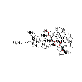 CC[C@H](C)[C@H](NC(=O)[C@@H](NC(=O)[C@H](CC(C)C)NC(=O)[C@H](Cc1c[nH]cn1)NC(=O)[C@H](Cc1ccccc1)NC(=O)[C@@H]1CCCN1C(=O)[C@H](Cc1c[nH]cn1)NC(=O)[C@@H](N)CCCCN)C(C)C)C(=O)N[C@@H](Cc1c[nH]cn1)C(=O)N[C@@H](CCCCN)C(=O)O